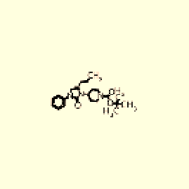 CCC[C@@H]1CN(c2ccccc2)C(=O)N1C1CCN(C(=O)OC(C)(C)C)CC1